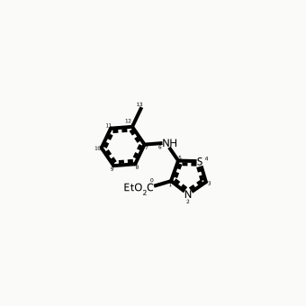 CCOC(=O)c1ncsc1Nc1ccccc1C